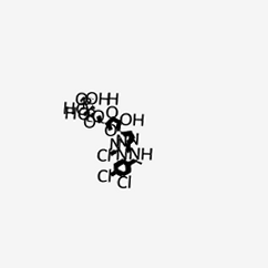 C[C@H](Nc1nc(Cl)nn2c([C@@H]3O[C@H](COP(=O)(O)CP(=O)(O)O)[C@@H](O)[C@H]3O)cnc12)c1ccc(Cl)c(Cl)c1